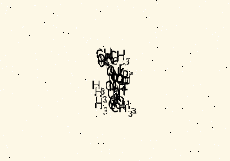 CO[C@@H]1C[C@@H](COc2nc(N(C)[C@@H]3CCN(C(=O)OC(C)(C)C)[C@@H]3C)c3cc(C(F)(F)F)c(Br)c(F)c3n2)N(C)C1